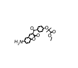 CCOC(=O)C(C)(C)Oc1ccc(C(=O)c2cc3cc(N)ccc3oc2=O)cc1